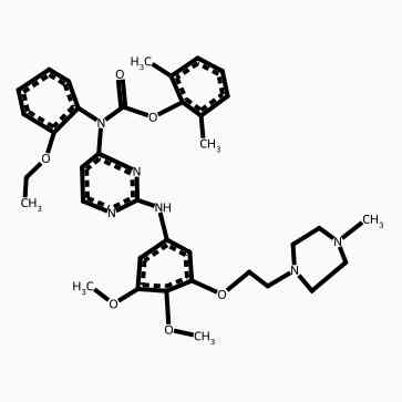 CCOc1ccccc1N(C(=O)Oc1c(C)cccc1C)c1ccnc(Nc2cc(OC)c(OC)c(OCCN3CCN(C)CC3)c2)n1